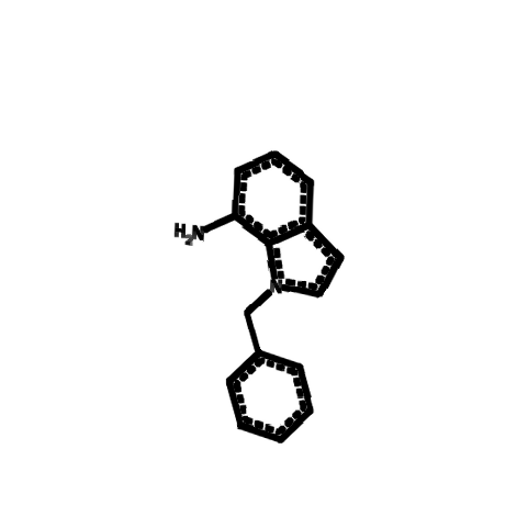 Nc1cccc2ccn(Cc3ccccc3)c12